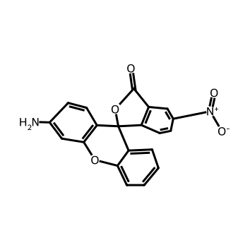 Nc1ccc2c(c1)Oc1ccccc1C21OC(=O)c2cc([N+](=O)[O-])ccc21